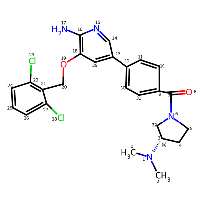 CN(C)[C@H]1CCN(C(=O)c2ccc(-c3cnc(N)c(OCc4c(Cl)cccc4Cl)c3)cc2)C1